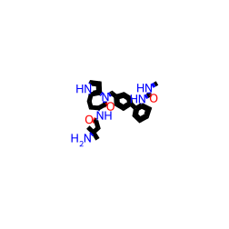 CNC(=O)Nc1ccccc1-c1ccc(CN2C(=O)[C@H](NC(=O)CC(C)(C)N)CCc3[nH]ccc32)cc1